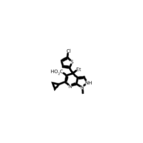 CCC1(c2ccc(Cl)s2)C2=CNN(C)C2=NC(C2CC2)=C1C(=O)O